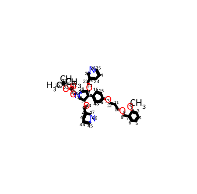 COc1ccccc1COCCCOc1ccc([C@H]2[C@@H](OCc3cccnc3)CN(OC(=O)OC(C)(C)C)C[C@H]2OCc2cccnc2)cc1